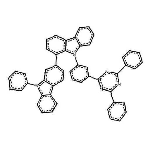 c1ccc(-c2nc(-c3ccccc3)nc(-c3cccc(-n4c5ccccc5c5cccc(-c6ccc7c8ccccc8n(-c8ccccc8)c7c6)c54)c3)n2)cc1